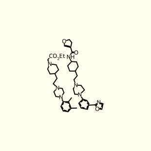 CCOC(=O)CN1CCC(CCN2CCN(c3cccc(C)c3C)CC2)CC1.O=C(NC1CCC(CCN2CCN(c3cccc(-c4ncco4)c3)CC2)CC1)C1=COCC1